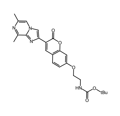 Cc1cn2cc(-c3cc4ccc(OCCNC(=O)OC(C)(C)C)cc4oc3=O)nc2c(C)n1